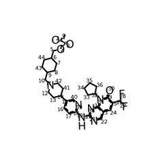 CS(=O)(=O)OCC1CCC(CN2CCC(c3ccc(Nc4ncc5cc(C(F)F)c(=O)n(C6CCCC6)c5n4)nc3)CC2)CC1